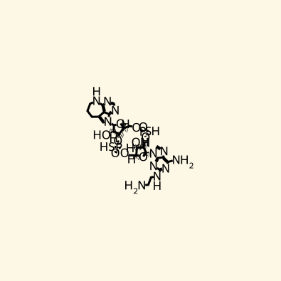 NCCNc1nc(N)c2ncn([C@@H]3O[C@@H]4COP(=O)(S)O[C@@H]5[C@@H](COP(=O)(S)O[C@@H]3[C@@H]4O)OC(n3cc4c6c(ncnc63)NCCC4)[C@@H]5O)c2n1